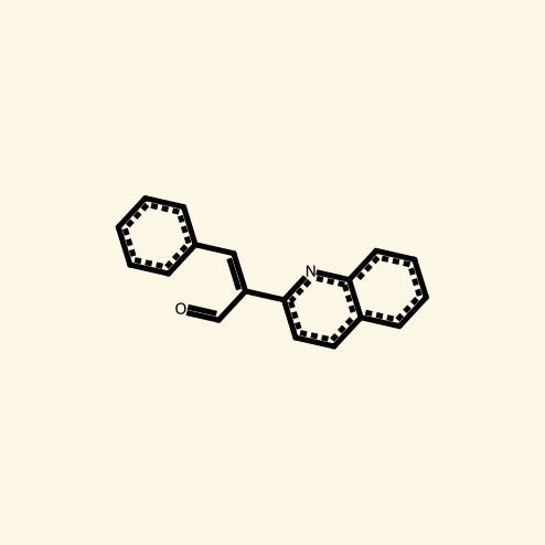 O=CC(=Cc1ccccc1)c1ccc2ccccc2n1